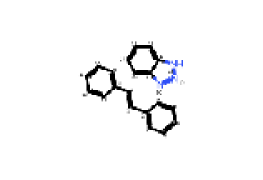 C(=C\c1ccccc1)/c1ccccc1.c1ccc2[nH]nnc2c1